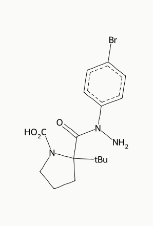 CC(C)(C)C1(C(=O)N(N)c2ccc(Br)cc2)CCCN1C(=O)O